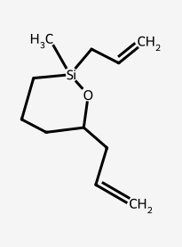 C=CCC1CCC[Si](C)(CC=C)O1